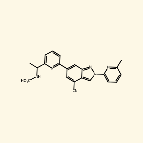 Cc1cccc(-n2cc3c(C#N)cc(-c4cccc(C(C)NC(=O)O)n4)cc3n2)n1